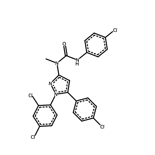 CN(C(=O)Nc1ccc(Cl)cc1)c1cc(-c2ccc(Cl)cc2)n(-c2ccc(Cl)cc2Cl)n1